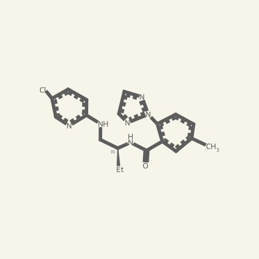 CC[C@@H](CNc1ccc(Cl)cn1)NC(=O)c1cc(C)ccc1-n1nccn1